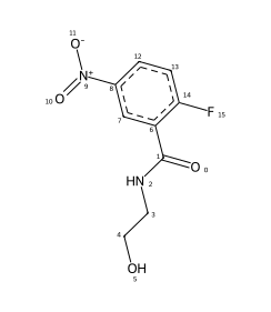 O=C(NCCO)c1cc([N+](=O)[O-])ccc1F